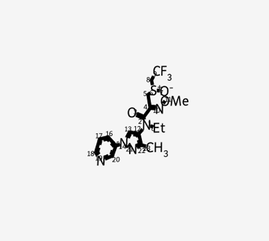 CCN(C(=O)C(C[S+]([O-])CC(F)(F)F)=NOC)c1cn(-c2cccnc2)nc1C